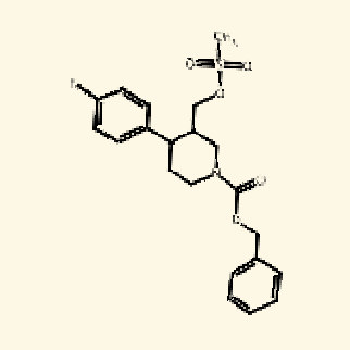 CS(=O)(=O)OCC1CN(C(=O)OCc2ccccc2)CCC1c1ccc(F)cc1